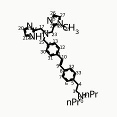 CCCN(CCC)CCc1ccc(/C=C/c2ccc(CN(Cc3ncc[nH]3)Cc3nccn3C)cc2)cc1